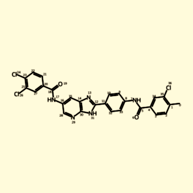 Cc1ccc(C(=O)Nc2ccc(-c3nc4cc(NC(=O)c5ccc(Cl)c(Cl)c5)cnc4[nH]3)cc2)cc1Cl